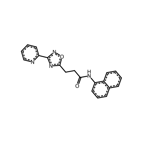 O=C(CCc1nc(-c2ccccn2)no1)Nc1cccc2ccccc12